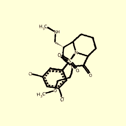 CNC[C@H]1CN(CCOC)C(=O)C2CCCC1N2S(=O)(=O)c1cc(Cl)cc(Cl)c1